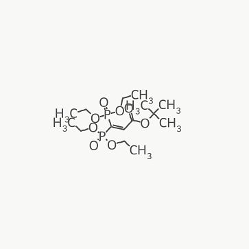 CCOP(=O)(OCC)C(=CC(=O)OC(C)(C)C)P(=O)(OCC)OCC